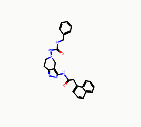 O=C(Cc1cccc2ccccc12)Nc1[nH]nc2c1CN(NC(=O)NCc1ccccc1)CC2